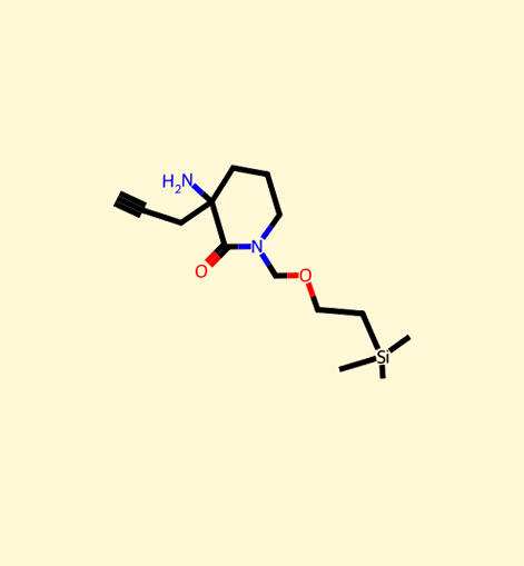 C#CCC1(N)CCCN(COCC[Si](C)(C)C)C1=O